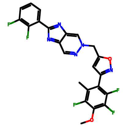 COc1c(F)c(C)c(-c2cc(Cn3cc4nc(-c5cccc(F)c5F)nc-4cn3)on2)c(F)c1F